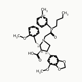 CCCCN(C(=O)CN1C[C@H](c2cc(OC)c3c(c2)OCO3)[C@@H](C(=O)O)[C@@H]1Cc1ccccc1OC)c1ccc[n+](C)c1